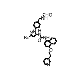 CC(C)(C)c1cc(NC(=O)Nc2ccc(OCCc3cccnc3)c3ccccc23)n(-c2ccc(CNC=O)cc2)n1